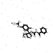 CC(=O)Nc1ccc(F)c([C@]2(NC(=S)NC(=O)c3ccccc3)COC[C@@]2(F)CO)c1